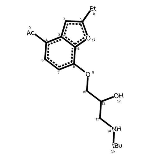 CCc1cc2c(C(C)=O)ccc(OCC(O)CNC(C)(C)C)c2o1